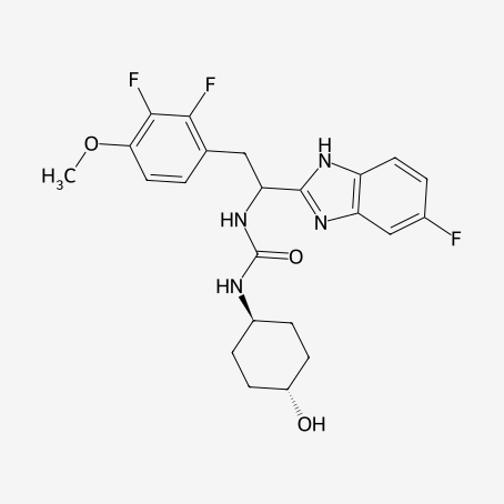 COc1ccc(CC(NC(=O)N[C@H]2CC[C@H](O)CC2)c2nc3cc(F)ccc3[nH]2)c(F)c1F